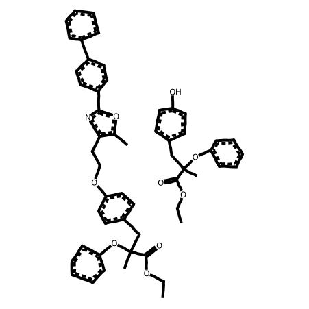 CCOC(=O)C(C)(Cc1ccc(O)cc1)Oc1ccccc1.CCOC(=O)C(C)(Cc1ccc(OCCc2nc(-c3ccc(-c4ccccc4)cc3)oc2C)cc1)Oc1ccccc1